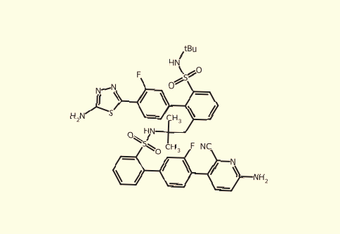 CC(C)(C)NS(=O)(=O)c1cccc(CC(C)(C)NS(=O)(=O)c2ccccc2-c2ccc(-c3ccc(N)nc3C#N)c(F)c2)c1-c1ccc(-c2nnc(N)s2)c(F)c1